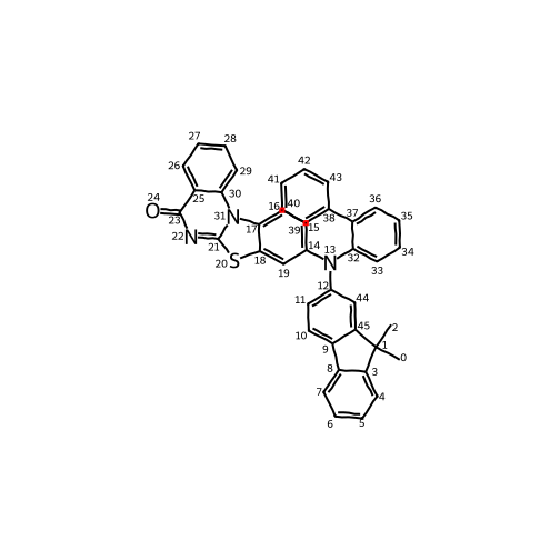 CC1(C)c2ccccc2-c2ccc(N(c3ccc4c(c3)sc3nc(=O)c5ccccc5n34)c3ccccc3-c3ccccc3)cc21